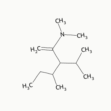 C=C(C(C(C)C)C(C)CC)N(C)C